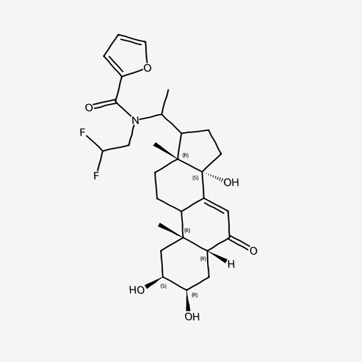 CC(C1CC[C@@]2(O)C3=CC(=O)[C@@H]4C[C@@H](O)[C@@H](O)C[C@]4(C)C3CC[C@]12C)N(CC(F)F)C(=O)c1ccco1